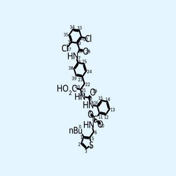 CCCCc1ccsc1CNS(=O)(=O)c1ccccc1NC(=O)NC(Cc1ccc(NC(=O)c2c(Cl)cccc2Cl)cc1)C(=O)O